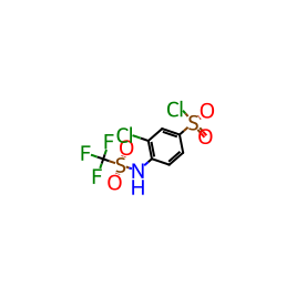 O=S(=O)(Cl)c1ccc(NS(=O)(=O)C(F)(F)F)c(Cl)c1